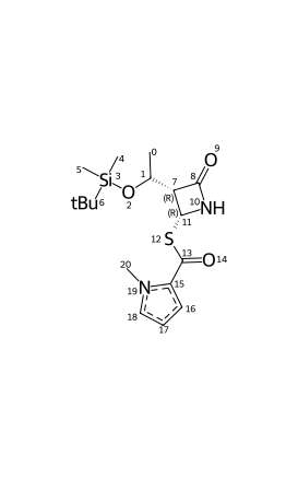 CC(O[Si](C)(C)C(C)(C)C)[C@@H]1C(=O)N[C@@H]1SC(=O)c1cccn1C